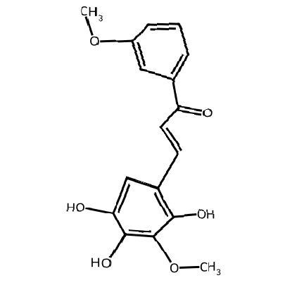 COc1cccc(C(=O)C=Cc2cc(O)c(O)c(OC)c2O)c1